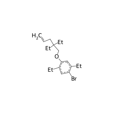 C=CCC(CC)(CC)COc1cc(CC)c(Br)cc1CC